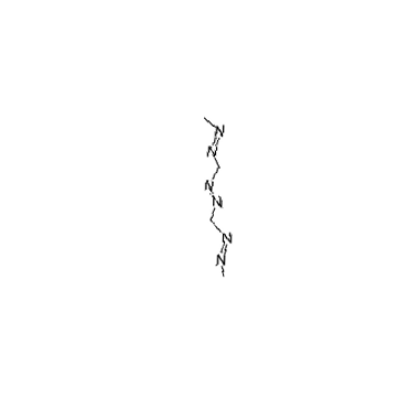 C/N=N/C/N=N/C/N=N/C